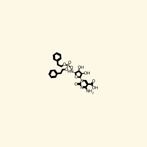 Nc1nc(=O)n([C@@H]2O[C@H](NOP(=O)(OCCc3ccccc3)OCCc3ccccc3)[C@@H](O)[C@H]2O)cc1C(=O)O